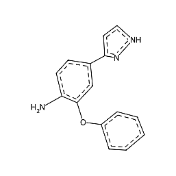 Nc1ccc(-c2cc[nH]n2)cc1Oc1ccccc1